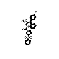 C[C@H](CNC(=O)N1CCC(S(=O)(=O)c2ccccc2)C1)C(c1ccc(F)cc1)c1ccc(F)cc1